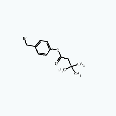 CC(C)(C)CC(=O)Oc1ccc(CBr)cc1